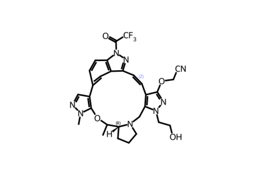 CC1Oc2c(cnn2C)-c2ccc3c(c2)c(nn3C(=O)C(F)(F)F)/C=C\c2c(OCC#N)nn(CCO)c2CN2CCC[C@H]12